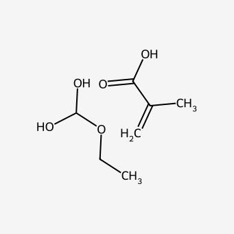 C=C(C)C(=O)O.CCOC(O)O